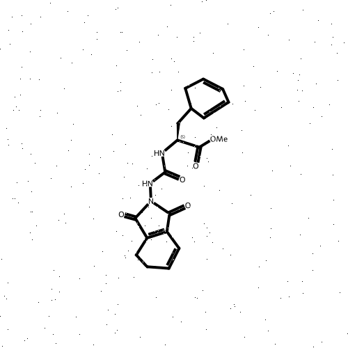 COC(=O)[C@H](CC1C=CC=CC1)NC(=O)NN1C(=O)C2=C(CCC=C2)C1=O